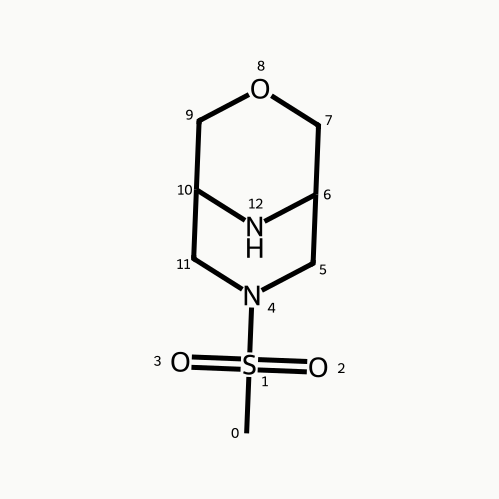 CS(=O)(=O)N1CC2COCC(C1)N2